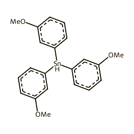 COc1ccc[c]([SnH]([c]2cccc(OC)c2)[c]2cccc(OC)c2)c1